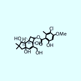 COc1cc(O)c(C(=O)O[C@@H]2C[C@]3(C)[C@H]4[C@@H](O)C(C)(C)C[C@@]4(O)C=C(CO)[C@]23O)c(C)c1Cl